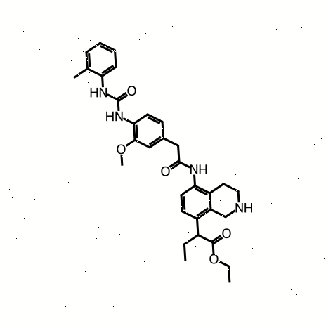 CCOC(=O)C(CC)c1ccc(NC(=O)Cc2ccc(NC(=O)Nc3ccccc3C)c(OC)c2)c2c1CNCC2